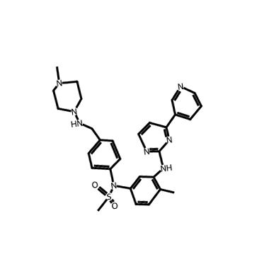 Cc1ccc(N(c2ccc(CNN3CCN(C)CC3)cc2)S(C)(=O)=O)cc1Nc1nccc(-c2cccnc2)n1